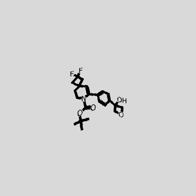 CC(C)(C)OC(=O)N1CCC2(C=C1c1ccc(C3(O)COC3)cc1)CC(F)(F)C2